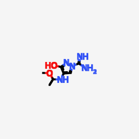 COC(C)Nc1cn(C(=N)N)nc1O